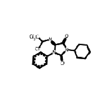 O=C1/C(=N/C(Cl)C(Cl)(Cl)Cl)N(c2ccccc2)C(=O)N1C1CCCCC1